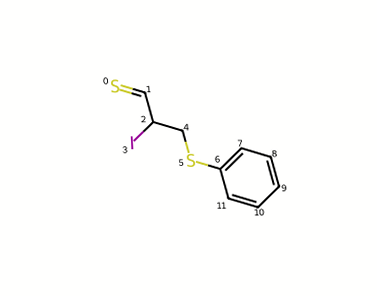 S=CC(I)CSc1ccccc1